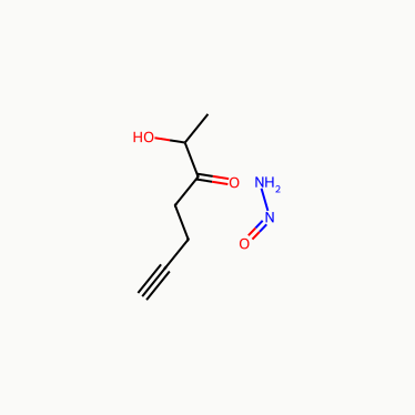 C#CCCC(=O)C(C)O.NN=O